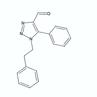 O=Cc1nnn(CCc2ccccc2)c1-c1ccccc1